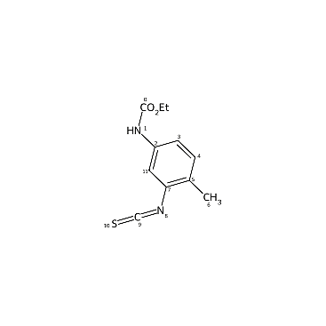 CCOC(=O)Nc1ccc(C)c(N=C=S)c1